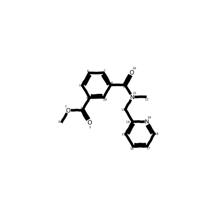 COC(=O)c1cccc(C(=O)N(C)Cc2ccccn2)c1